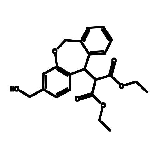 CCOC(=O)C(C(=O)OCC)C1c2ccccc2COc2cc(CO)ccc21